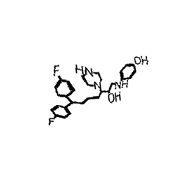 Oc1ccc(NCC(O)C(CCCC(c2ccc(F)cc2)c2ccc(F)cc2)N2CCNCC2)cc1